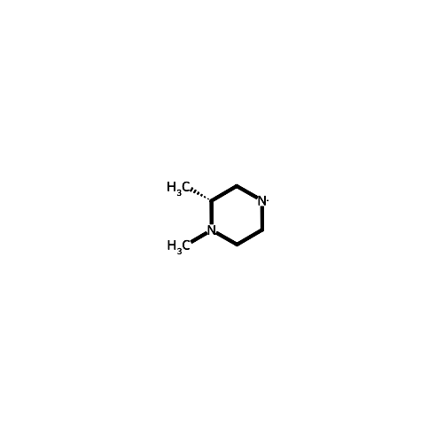 C[C@@H]1C[N]CCN1C